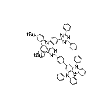 CC(C)(C)c1ccc2c(c1)c1cc(C(C)(C)C)ccc1n2-c1ccc(-c2nc(-c3ccccc3)nc(-c3ccccc3)n2)cc1-c1cc(-c2ccccc2)nc(-c2ccc(-c3cc4c5c(c3)N(c3ccccc3)c3ccccc3B5c3ccccc3N4c3ccccc3)cc2)n1